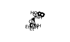 CCC1(CC)CC(=O)N(C[C@H]2C[C@@H]2C(=O)N[C@@H]2c3ccccc3C[C@H]2O)C(=N)N1